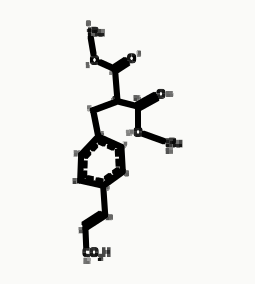 CC(C)(C)OC(=O)C(Cc1ccc(C=CC(=O)O)cc1)C(=O)OC(C)(C)C